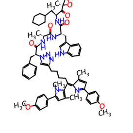 COc1ccc(C2=N/C(=C(/CCCCc3cn([C@@H](Cc4ccccc4)C(=O)N[C@H](C)C(=O)N[C@@H](Cc4c[nH]c5ccccc45)C(=O)N[C@@H](CC4CCCCC4)C(=O)[C@@]4(C)CO4)nn3)c3c(C)cc(-c4ccc(OC)cc4)n3C)C(C)=C2)cc1